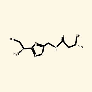 C[C@@H](O)CC(=O)NCc1nc([C@@H](N)CO)no1